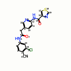 N#Cc1ccc(NC(=O)Cc2ccc(NC(=O)c3cscn3)nc2)cc1Cl